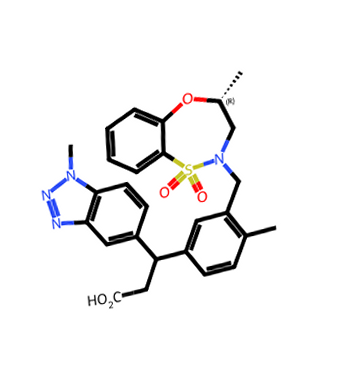 Cc1ccc(C(CC(=O)O)c2ccc3c(c2)nnn3C)cc1CN1C[C@@H](C)Oc2ccccc2S1(=O)=O